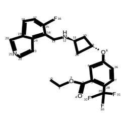 CCOC(=O)c1cc(O[C@H]2C[C@H](NCc3c(F)ccc4cnccc34)C2)ccc1C(F)(F)F